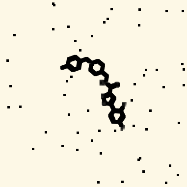 Cc1ccc(CN2CCC(CNC(=O)c3cc(-c4ccc(F)cc4F)on3)CC2)cc1